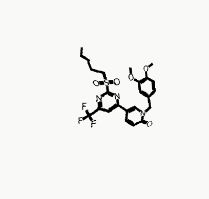 CCCCCS(=O)(=O)c1nc(-c2ccc(=O)n(Cc3ccc(OC)c(OC)c3)c2)cc(C(F)(F)F)n1